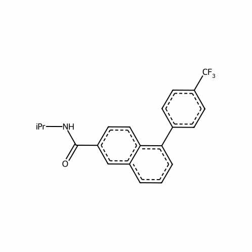 CC(C)NC(=O)c1ccc2c(-c3ccc(C(F)(F)F)cc3)cccc2c1